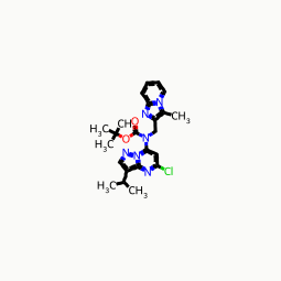 Cc1c(CN(C(=O)OC(C)(C)C)c2cc(Cl)nc3c(C(C)C)cnn23)nc2ccccn12